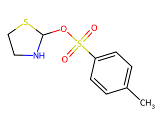 Cc1ccc(S(=O)(=O)OC2NCCS2)cc1